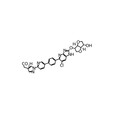 O=C(O)Cc1cnn(-c2ccc(-c3ccc(-c4nc5nc(O[C@@H]6CO[C@H]7[C@@H]6OC[C@H]7O)[nH]c5cc4Cl)cc3)cn2)c1